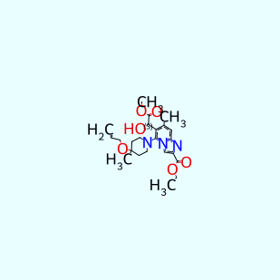 C=CCOC1(C)CCN(c2c([C@H](O)C(=O)OC)c(C)cc3nc(C(=O)OCC)cn23)CC1